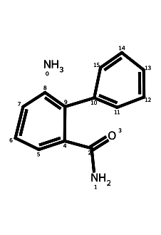 N.NC(=O)c1ccccc1-c1ccccc1